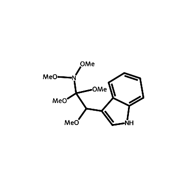 COC(c1c[nH]c2ccccc12)C(OC)(OC)N(OC)OC